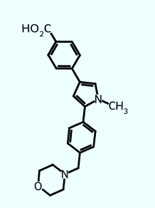 Cn1cc(-c2ccc(C(=O)O)cc2)cc1-c1ccc(CN2CCOCC2)cc1